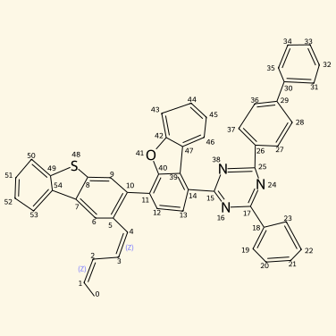 C/C=C\C=C/c1cc2c(cc1-c1ccc(-c3nc(-c4ccccc4)nc(-c4ccc(-c5ccccc5)cc4)n3)c3c1oc1ccccc13)sc1ccccc12